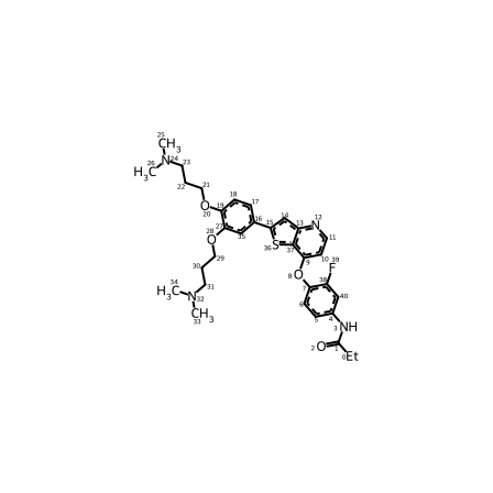 CCC(=O)Nc1ccc(Oc2ccnc3cc(-c4ccc(OCCCN(C)C)c(OCCCN(C)C)c4)sc23)c(F)c1